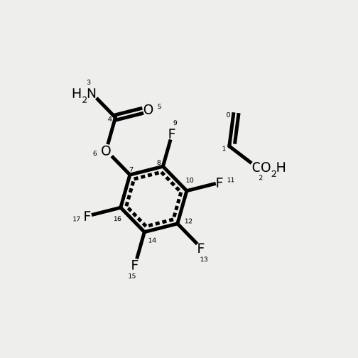 C=CC(=O)O.NC(=O)Oc1c(F)c(F)c(F)c(F)c1F